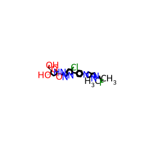 CC(C)(F)Cn1cc2c(n1)CN(c1ccc(-c3nc4nc(O[C@H]5CO[C@H](CO)[C@@H](O)C5)[nH]c4cc3Cl)cc1)C2